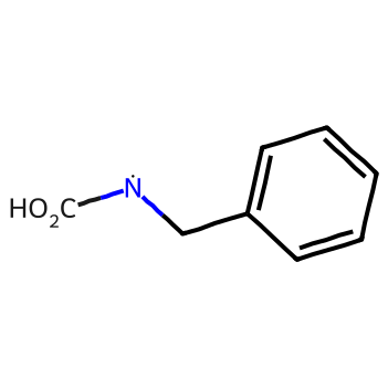 O=C(O)[N]Cc1ccccc1